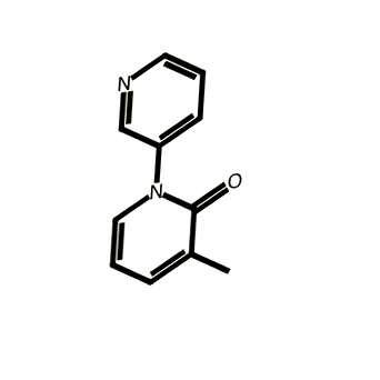 Cc1cccn(-c2cccnc2)c1=O